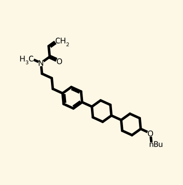 C=CC(=O)N(C)CCCc1ccc(C2CCC(C3CCC(OCCCC)CC3)CC2)cc1